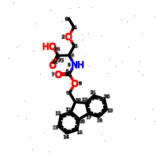 CCOCC(NC(=O)OCC1c2ccccc2-c2ccccc21)C(=O)O